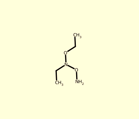 CCON(CC)ON